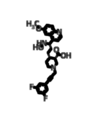 COc1ccc2nccc([C@@H](CC[C@@H]3CCN(CC#Cc4cc(F)cc(F)c4)C[C@@H]3C(=O)O)NO)c2c1